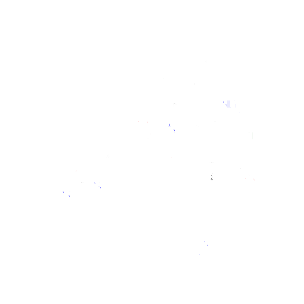 CCN(CC)C(=O)Nc1ccc(S(=O)(=O)N2C(=O)C(c3ccccc3Cl)c3c2cc([C@H](CCCCN)C(=O)OC)c(Cl)c3N)cc1